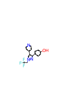 Oc1ccc(-c2nn(CC(F)(F)F)cc2-c2ccncc2)cc1